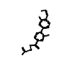 C=C(C)CCC(=C)c1ccc(-c2ccc(/C=C\C)c(C)c2)c(C)c1